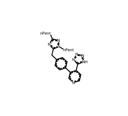 CCCCCc1nc(Cc2ccc(-c3cnccc3-c3nnn[nH]3)cc2)n(CCCCC)n1